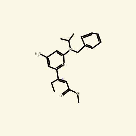 CC/C(=C\C(=O)OC)c1cc(N)cc(N(Cc2ccccc2)C(C)C)n1